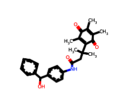 CC1=C(C)C(=O)C(C(C)(C)CC(=O)Nc2ccc(C(O)c3ccccc3)cc2)=C(C)C1=O